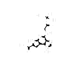 Cn1cnc2c(NCC(=O)OC(C)(C)C)nc3[nH]c(C(=O)O)cc3c21